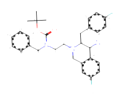 CC(C)(C)OC(=O)N(CCN1Cc2cc(F)ccc2C(N)C1Cc1ccc(F)cc1)Cc1ccccc1